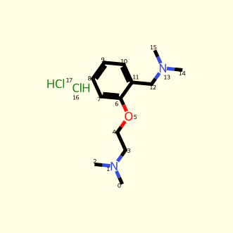 CN(C)CCOc1ccccc1CN(C)C.Cl.Cl